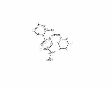 CCCCCN(C(=O)c1ccccc1I)C(C(=O)NCCCC)C1CCCCC1